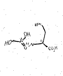 CC(C)C[C@H](N)C(=O)O.O=[PH](O)O